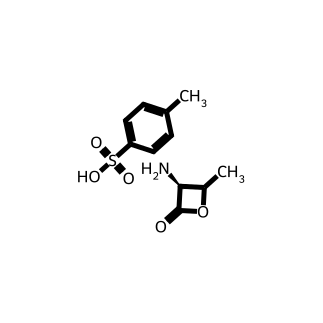 CC1OC(=O)[C@H]1N.Cc1ccc(S(=O)(=O)O)cc1